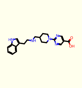 O=C(O)c1cnc(N2CCC(CNCCc3c[nH]c4ccccc34)CC2)nc1